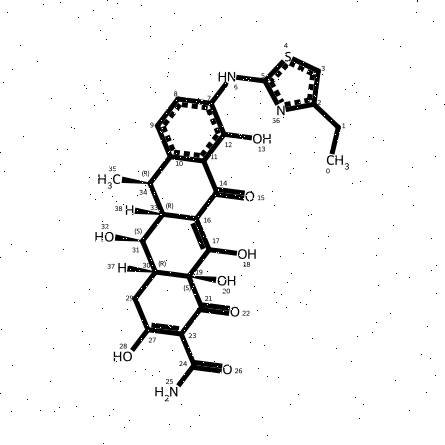 CCc1csc(Nc2ccc3c(c2O)C(=O)C2=C(O)[C@]4(O)C(=O)C(C(N)=O)=C(O)C[C@@H]4[C@@H](O)[C@@H]2[C@H]3C)n1